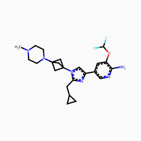 CN1CCN(C23CC(n4cc(-c5cnc(N)c(OC(F)F)c5)nc4CC4CC4)(C2)C3)CC1